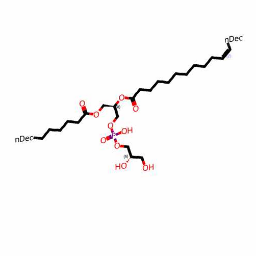 CCCCCCCCCC/C=C\CCCCCCCCCC(=O)O[C@H](COC(=O)CCCCCCCCCCCCCCC)COP(=O)(O)OC[C@@H](O)CO